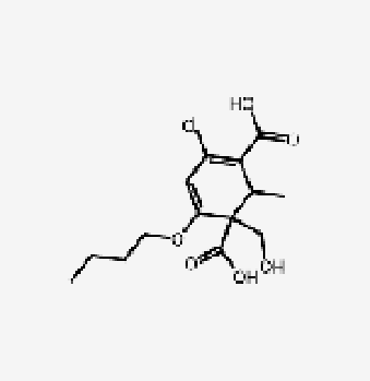 CCCCOC1=CC(Cl)=C(C(=O)O)C(C)C1(CO)C(=O)O